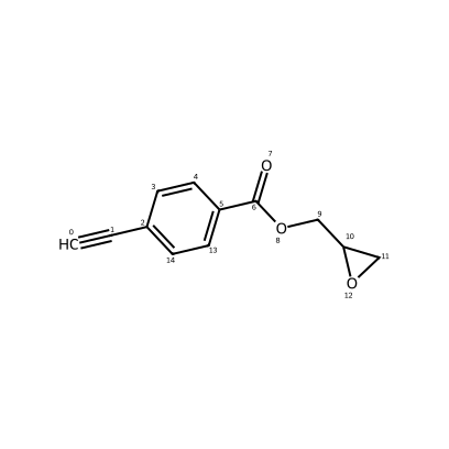 C#Cc1ccc(C(=O)OCC2CO2)cc1